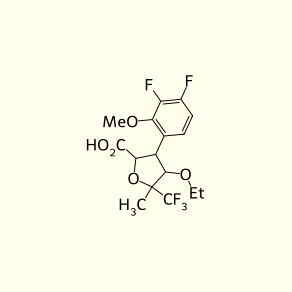 CCOC1C(c2ccc(F)c(F)c2OC)C(C(=O)O)OC1(C)C(F)(F)F